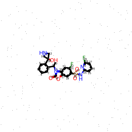 CC(c1ccccc1C1(O)CNC1)n1c(=O)oc2cc(S(=O)(=O)Nc3cccc(F)n3)c(F)cc21